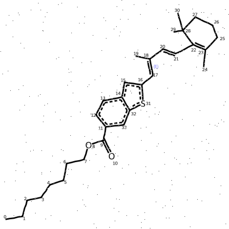 CCCCCCCCOC(=O)c1ccc2cc(/C=C(\C)C=CC3=C(C)CCCC3(C)C)sc2c1